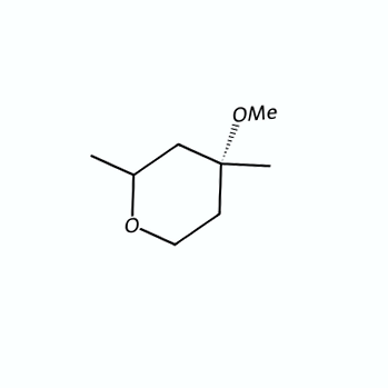 CO[C@]1(C)CCOC(C)C1